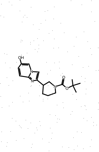 CC(C)(C)OC(=O)N1CCCC(c2cn3cc(O)ccc3n2)C1